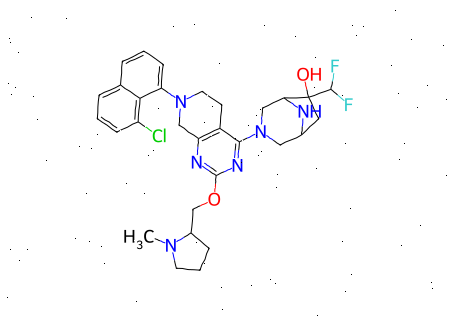 CN1CCCC1COc1nc2c(c(N3CC4CC(O)(C(F)F)C(C3)N4)n1)CCN(c1cccc3cccc(Cl)c13)C2